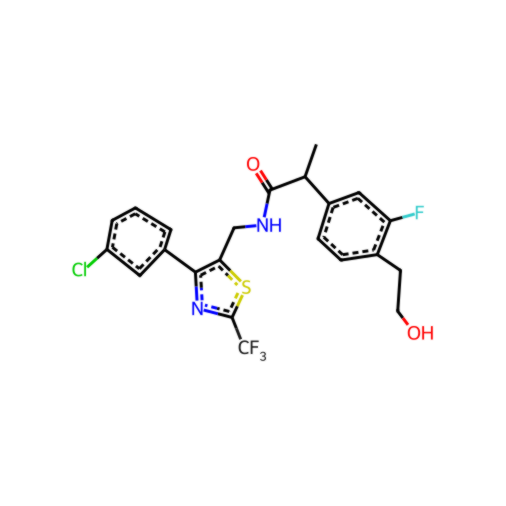 CC(C(=O)NCc1sc(C(F)(F)F)nc1-c1cccc(Cl)c1)c1ccc(CCO)c(F)c1